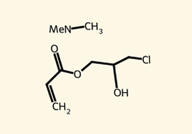 C=CC(=O)OCC(O)CCl.CNC